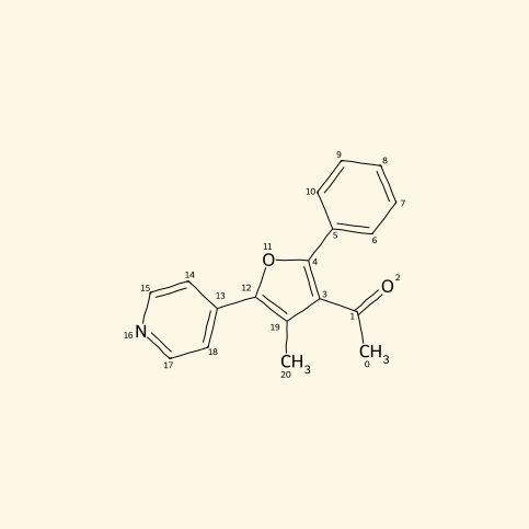 CC(=O)c1c(-c2ccccc2)oc(-c2ccncc2)c1C